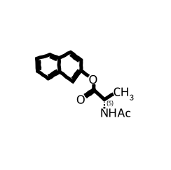 CC(=O)N[C@@H](C)C(=O)Oc1ccc2ccccc2c1